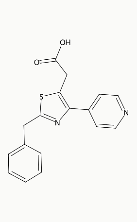 O=C(O)Cc1sc(Cc2ccccc2)nc1-c1ccncc1